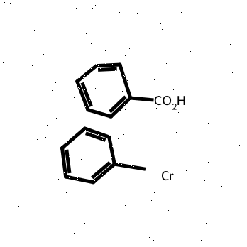 Cc1ccccc1.O=C(O)c1ccccc1.[Cr]